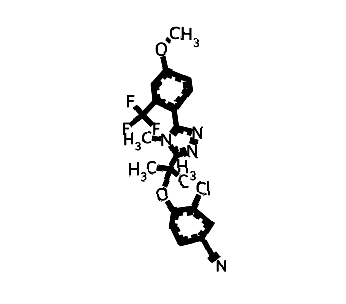 COc1ccc(-c2nnc(C(C)(C)Oc3ccc(C#N)cc3Cl)n2C)c(C(F)(F)F)c1